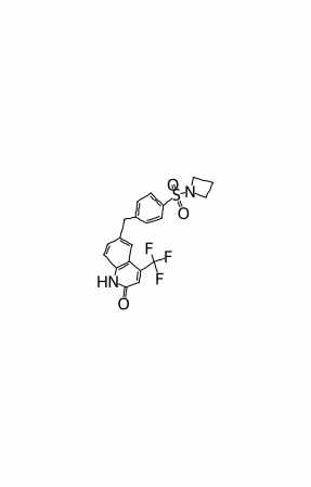 O=c1cc(C(F)(F)F)c2cc(Cc3ccc(S(=O)(=O)N4CCC4)cc3)ccc2[nH]1